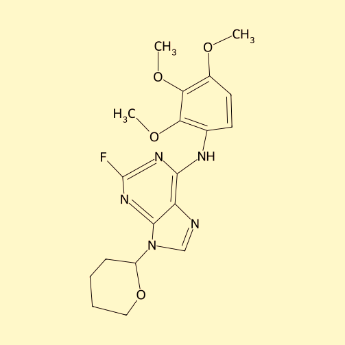 COc1ccc(Nc2nc(F)nc3c2ncn3C2CCCCO2)c(OC)c1OC